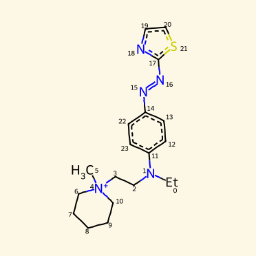 CCN(CC[N+]1(C)CCCCC1)c1ccc(/N=N/c2nccs2)cc1